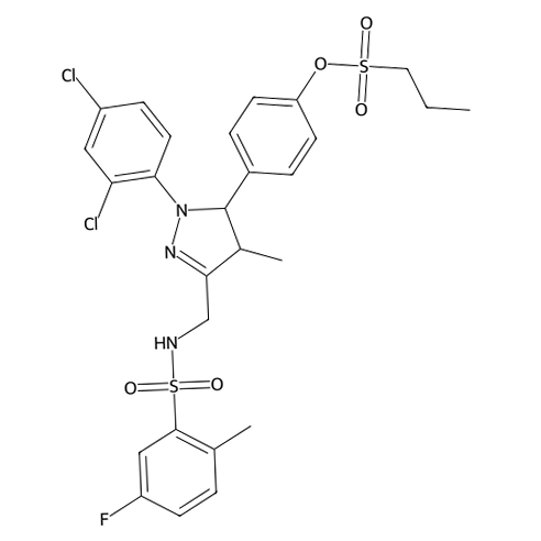 CCCS(=O)(=O)Oc1ccc(C2C(C)C(CNS(=O)(=O)c3cc(F)ccc3C)=NN2c2ccc(Cl)cc2Cl)cc1